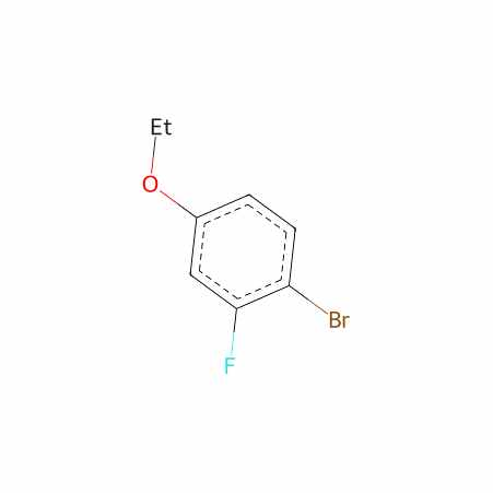 CCOc1ccc(Br)c(F)c1